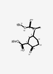 COC(=O)C1CC(N(C)C(=O)OC(C)(C)C)CCC1=O